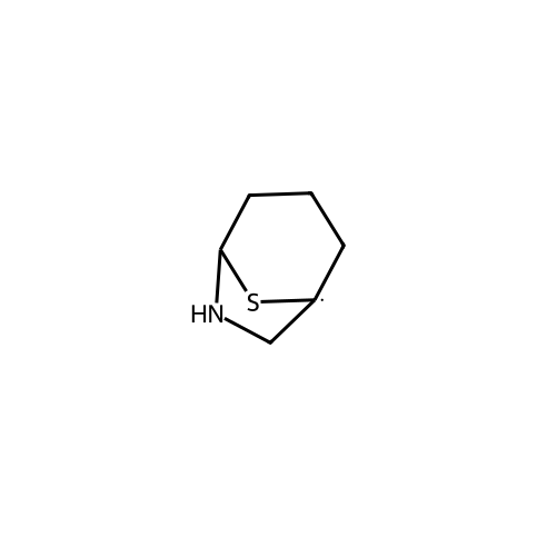 C1C[C]2CNC(C1)S2